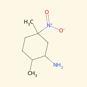 CC1CCC(C)([N+](=O)[O-])CC1N